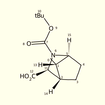 C[C@H]1[C@@H]2CC[C@@H]1N(C(=O)OC(C)(C)C)[C@@H]2C(=O)O